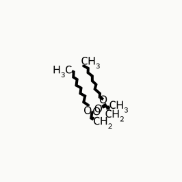 C=C(C)C(=O)OCCCCCCCCCC.C=CC(=O)OCCCCCCCCCC